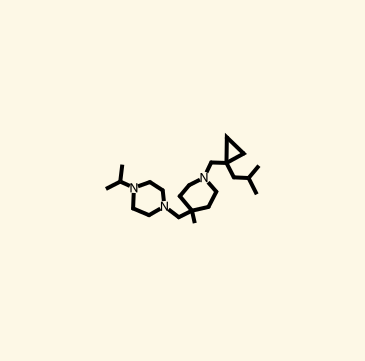 CC(C)CC1(CN2CCC(C)(CN3CCN(C(C)C)CC3)CC2)CC1